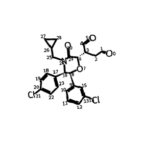 O=CCC(C=O)[C@@H]1O[C@@H](c2cccc(Cl)c2)[C@@H](c2ccc(Cl)cc2)N(CC2CC2)C1=O